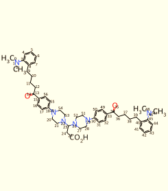 CN(C)c1ccccc1CCCCC(=O)c1ccc(N2CCN(C(CC(=O)O)N3CCN(c4ccc(C(=O)CCCCc5ccccc5N(C)C)cc4)CC3)CC2)cc1